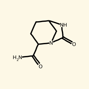 NC(=O)C1CCC2CN1C(=O)N2